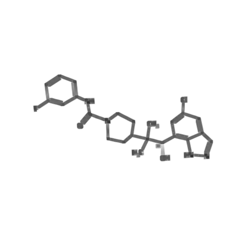 CC(C)(C1CCN(C(=O)Nc2cccc(F)c2)CC1)[C@@H](O)c1cc(Cl)cc2cn[nH]c12